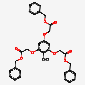 O=Cc1c(OCC(=O)OCc2ccccc2)cc(OCC(=O)OCc2ccccc2)cc1OCC(=O)OCc1ccccc1